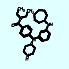 CCN(CC)C(=O)c1ccc([C@@H](c2cccc(NC3CCCCCC3)c2)N2CCNCC2)cc1